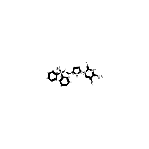 CC(C)(C)[Si](OC[C@H]1C=C[C@@H](n2cc(F)c(N)nc2=O)O1)(c1ccccc1)c1ccccc1